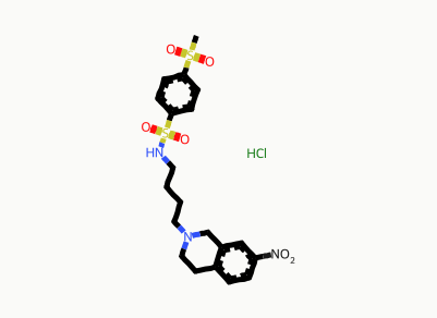 CS(=O)(=O)c1ccc(S(=O)(=O)NCCCCN2CCc3ccc([N+](=O)[O-])cc3C2)cc1.Cl